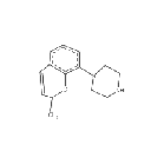 CC1C=Cc2cccc(N3CCNCC3)c2O1